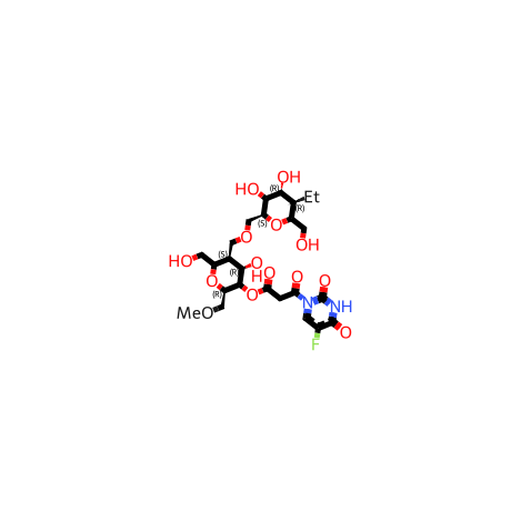 CC[C@H]1C(CO)O[C@@H](COC[C@@H]2C(CO)O[C@H](COC)C(OC(=O)CC(=O)n3cc(F)c(=O)[nH]c3=O)[C@@H]2O)C(O)[C@@H]1O